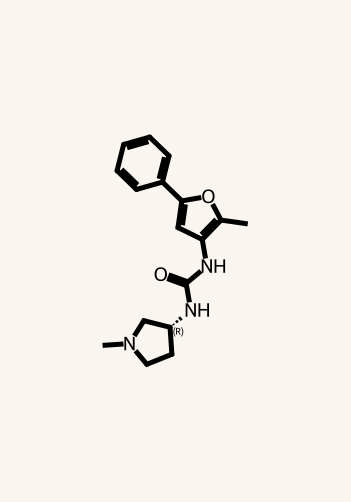 Cc1oc(-c2ccccc2)cc1NC(=O)N[C@@H]1CCN(C)C1